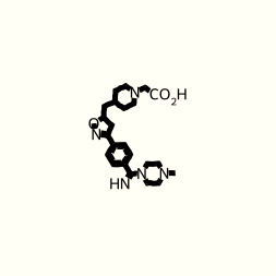 CN1CCN(C(=N)c2ccc(C3=NOC(CC4CCN(CC(=O)O)CC4)C3)cc2)CC1